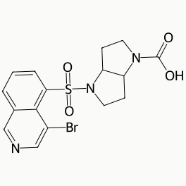 O=C(O)N1CCC2C1CCN2S(=O)(=O)c1cccc2cncc(Br)c12